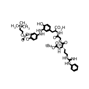 CC(C)(C)OC(=O)N[C@@H](CCCNC(=N)Nc1ccccc1)C(=O)NCC(=O)N[C@@H](Cc1ccc(O)c(NNc2ccc(OP(=O)(O)OCC[N+](C)(C)C)cc2)c1)C(=O)O